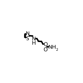 NC(=O)OCCCCNCc1nccs1